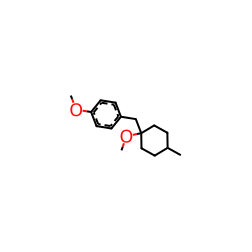 COc1ccc(CC2(OC)CCC(C)CC2)cc1